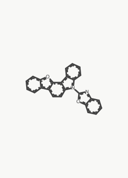 c1ccc2oc(-n3c4ccccc4c4c5oc6ccccc6c5ccc43)nc2c1